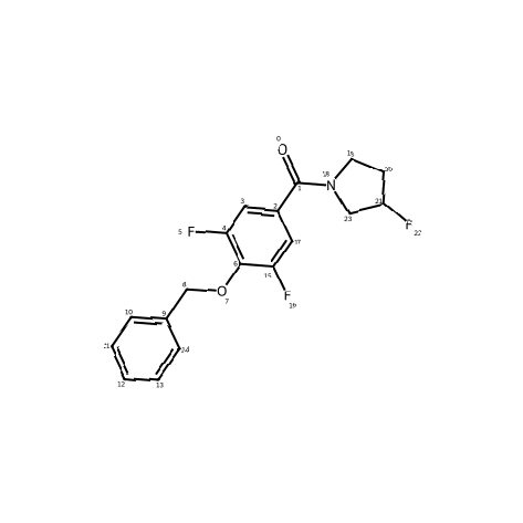 O=C(c1cc(F)c(OCc2ccccc2)c(F)c1)N1CCC(F)C1